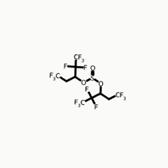 O=S(OC(CC(F)(F)F)C(F)(F)C(F)(F)F)OC(CC(F)(F)F)C(F)(F)C(F)(F)F